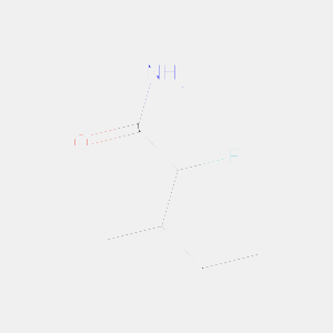 CC[C](C)C(F)C(N)=O